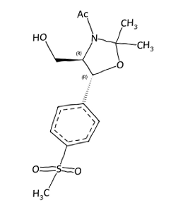 CC(=O)N1[C@H](CO)[C@@H](c2ccc(S(C)(=O)=O)cc2)OC1(C)C